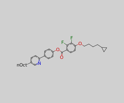 CCCCCCCCc1ccc(-c2ccc(OC(=O)c3ccc(OCCCCC4CC4)c(F)c3F)cc2)nc1